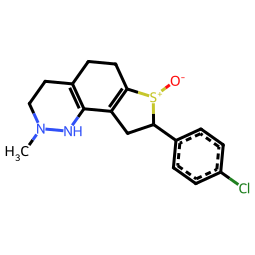 CN1CCC2=C(N1)C1=C(CC2)[S+]([O-])C(c2ccc(Cl)cc2)C1